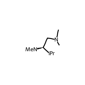 CN[C@@H](CN(C)C)C(C)C